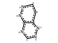 c1cc2nncnc2nn1